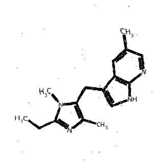 CCc1nc(C)c(Cc2c[nH]c3ncc(C)cc23)n1C